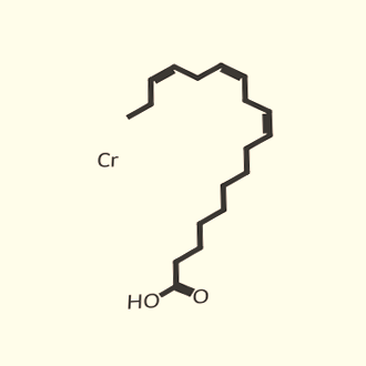 CC/C=C\C/C=C\C/C=C\CCCCCCCC(=O)O.[Cr]